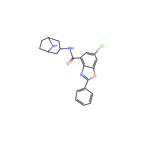 CN1C2CCC1CC(NC(=O)c1cc(Cl)cc3oc(-c4ccccc4)nc13)C2